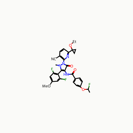 CCOC1(c2ccc(C#N)c(-n3c(=O)c(NC(=O)c4ccc(OC(C)F)cc4)c(-c4c(F)cc(OC)cc4F)n3C)n2)CC1